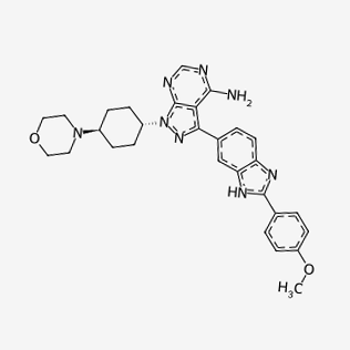 COc1ccc(-c2nc3ccc(-c4nn([C@H]5CC[C@H](N6CCOCC6)CC5)c5ncnc(N)c45)cc3[nH]2)cc1